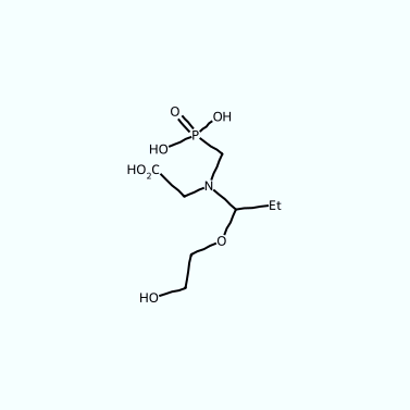 CCC(OCCO)N(CC(=O)O)CP(=O)(O)O